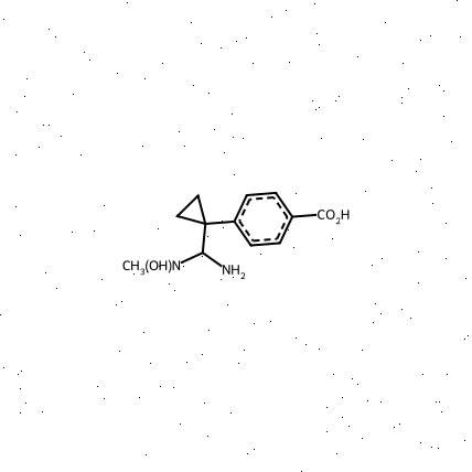 CN(O)C(N)C1(c2ccc(C(=O)O)cc2)CC1